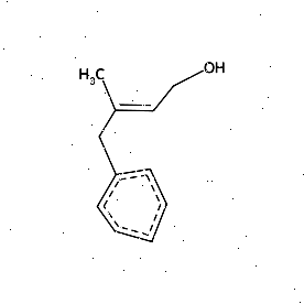 CC(=CCO)Cc1ccccc1